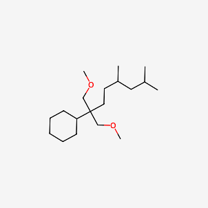 COCC(CCC(C)CC(C)C)(COC)C1CCCCC1